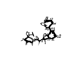 CC1CCCN1CCc1cc2cccc(C3=CCCOC3)c2o1